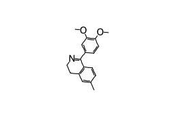 COc1ccc(C2=NCCc3cc(C)ccc32)cc1OC